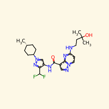 CC(C)(O)CCNc1ccn2ncc(C(=O)Nc3cn([C@H]4CC[C@H](C)CC4)nc3C(F)F)c2n1